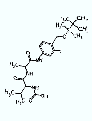 CC(NC(=O)C(NC(=O)O)C(C)C)C(=O)Nc1ccc(CO[Si](C)(C)C(C)(C)C)c(I)c1